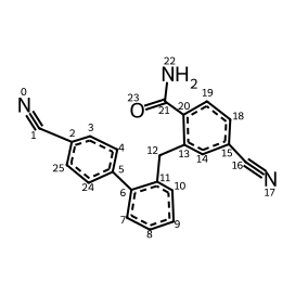 N#Cc1ccc(-c2ccccc2Cc2cc(C#N)ccc2C(N)=O)cc1